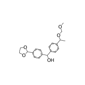 COCOC(C)c1ccc(C(O)c2ccc(C3OCCO3)cc2)cc1